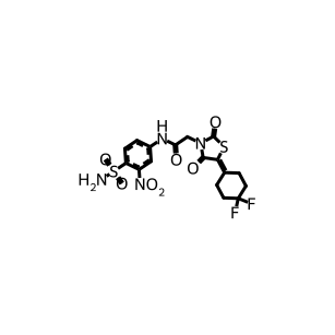 NS(=O)(=O)c1ccc(NC(=O)CN2C(=O)SC(=C3CCC(F)(F)CC3)C2=O)cc1[N+](=O)[O-]